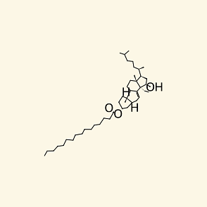 CCCCCCCCCCCCCCCC(=O)O[C@H]1CC[C@@]2(C)[C@@H](CC=C3[C@@H]2CC[C@]2(C)[C@@H]([C@H](C)CCCC(C)C)C[C@@H](O)[C@@]32CC)C1